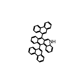 C1=CC2=c3c(-c4cc5ccccc5c5ccccc45)c4ccccc4c(-c4cc5ccccc5c5ccccc45)c3=CNC2C=C1